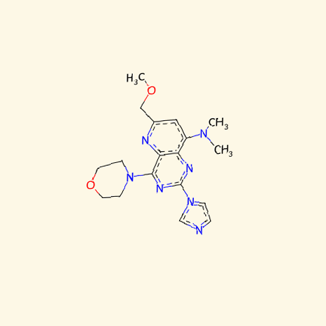 COCc1cc(N(C)C)c2nc(-n3ccnc3)nc(N3CCOCC3)c2n1